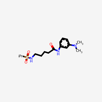 CC(C)S(=O)(=O)NCCCCC(=O)Nc1cccc(N(C)C)c1